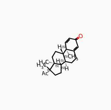 CC(=O)[C@@]1(C)CC[C@H]2[C@@H]3CCC4=CC(=O)C=C[C@]4(C)[C@H]3CC[C@@]21C